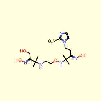 CC(C)(NCCONC(C)(C)/C(CCn1ccnc1[N+](=O)[O-])=N/O)/C(CO)=N/O